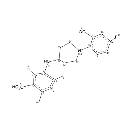 Cc1nc(C)c(C(=O)O)c(C)c1NC1CCN(c2ccc(F)cc2C#N)CC1